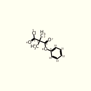 CC(C)(C(=O)Cl)C(=O)Oc1ccccc1